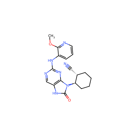 COc1ncccc1Nc1ncc2[nH]c(=O)n([C@@H]3CCCC[C@H]3C#N)c2n1